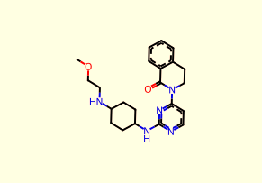 COCCNC1CCC(Nc2nccc(N3CCc4ccccc4C3=O)n2)CC1